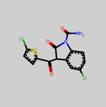 NC(=O)N1C(=O)C(C(=O)c2ccc(Cl)s2)c2cc(Cl)ccc21